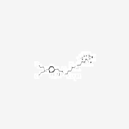 N[C@@H](Cc1ccc(N(CCCl)CCCl)cc1)C(=O)N[C@@H](CCC(=O)NCCCCC(O)(P(=O)(O)O)P(=O)(O)O)C(=O)O